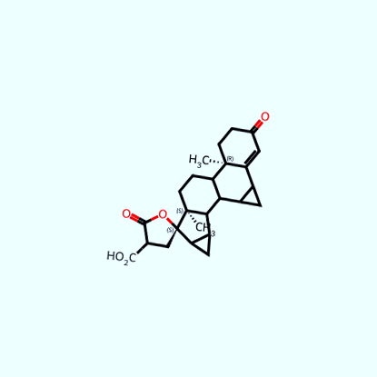 C[C@]12CCC(=O)C=C1C1CC1C1C2CC[C@@]2(C)C1C1CC1[C@@]21CC(C(=O)O)C(=O)O1